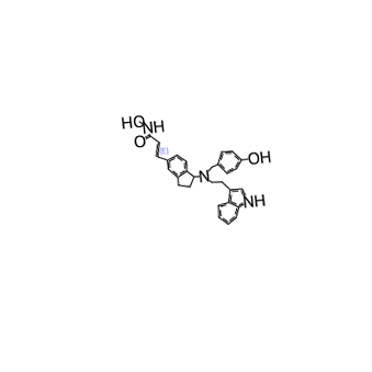 O=C(/C=C/c1ccc2c(c1)CCC2N(CCc1c[nH]c2ccccc12)Cc1ccc(O)cc1)NO